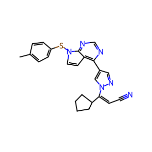 Cc1ccc(Sn2ccc3c(-c4cnn(/C(=C\C#N)C5CCCC5)c4)ncnc32)cc1